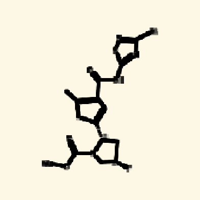 CCc1nsc(NC(=O)c2cc([C@@H]3C[C@@H](F)CN3C(=O)OC(C)(C)C)sc2C)n1